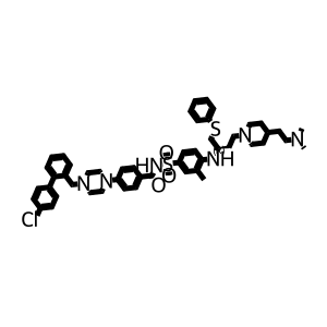 Cc1cc(S(=O)(=O)NC(=O)c2ccc(N3CCN(Cc4ccccc4-c4ccc(Cl)cc4)CC3)cc2)ccc1N[C@H](CCN1CCC(CCN(C)C)CC1)CSc1ccccc1